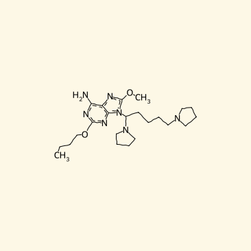 CCCCOc1nc(N)c2nc(OC)n(C(CCCCN3CCCC3)N3CCCC3)c2n1